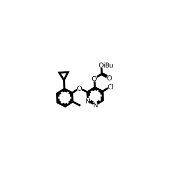 Cc1cccc(C2CC2)c1Oc1nncc(Cl)c1OC(=O)OCC(C)C